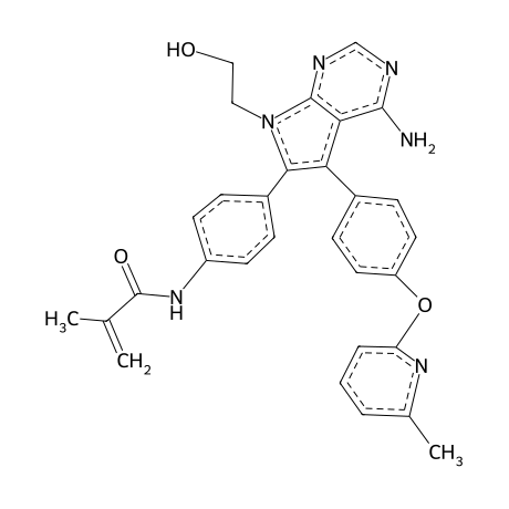 C=C(C)C(=O)Nc1ccc(-c2c(-c3ccc(Oc4cccc(C)n4)cc3)c3c(N)ncnc3n2CCO)cc1